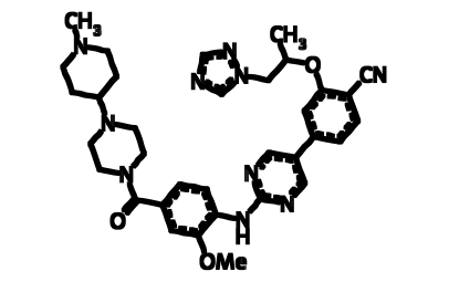 COc1cc(C(=O)N2CCN(C3CCN(C)CC3)CC2)ccc1Nc1ncc(-c2ccc(C#N)c(OC(C)Cn3cncn3)c2)cn1